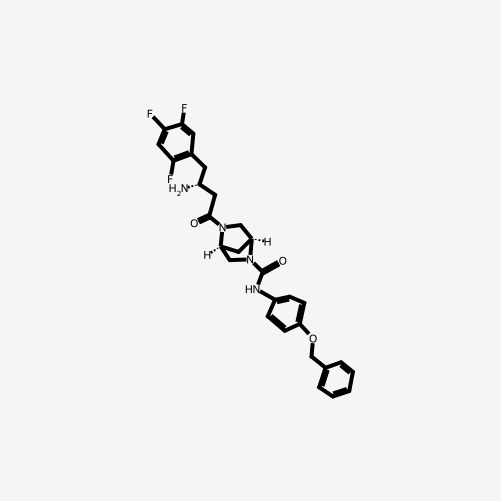 N[C@@H](CC(=O)N1C[C@@H]2C[C@H]1CN2C(=O)Nc1ccc(OCc2ccccc2)cc1)Cc1cc(F)c(F)cc1F